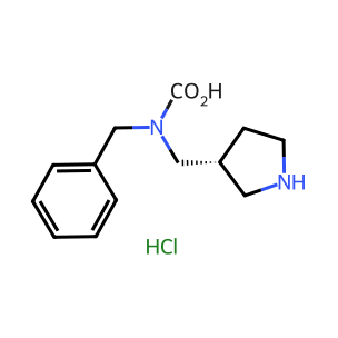 Cl.O=C(O)N(Cc1ccccc1)C[C@@H]1CCNC1